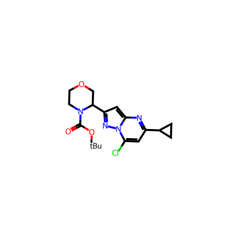 CC(C)(C)OC(=O)N1CCOCC1c1cc2nc(C3CC3)cc(Cl)n2n1